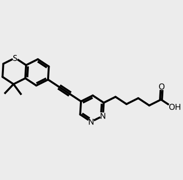 CC1(C)CCSc2ccc(C#Cc3cnnc(CCCCC(=O)O)c3)cc21